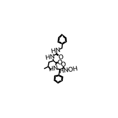 CC(C)CC(NC(=O)NCc1ccccc1)C(=O)NC(C(=O)NO)c1ccccc1